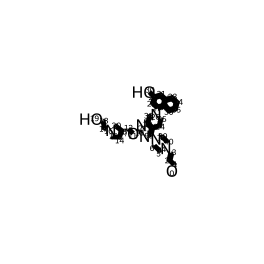 O=CC=CN1CCN(c2nc(OC[C@@H]3CCN(CCO)C3)nc3c2CCN(c2cc(O)cc4ccccc24)C3)CC1